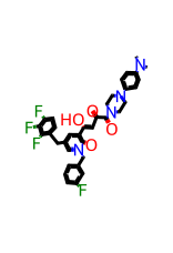 CN(C)c1ccc(N2CCN(C(=O)C(=O)C=C(O)c3cc(Cc4ccc(F)c(F)c4F)cn(Cc4cccc(F)c4)c3=O)CC2)cc1